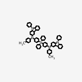 Cc1ccc(N(c2ccc([Si](c3ccccc3)(c3ccccc3)c3ccc(N(c4ccc(C)cc4)c4ccc5c(c4)c4ccccc4n5-c4ccccc4)cc3)cc2)c2ccc3c(c2)c2ccccc2n3-c2ccccc2)cc1